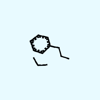 CCC.CCCc1ccccc1